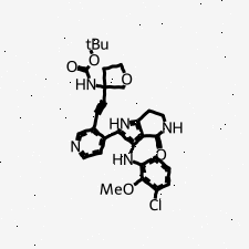 COc1c(Cl)cccc1Nc1c(-c2ccncc2C#CC2(NC(=O)OC(C)(C)C)CCOC2)[nH]c2c1C(=O)NCC2